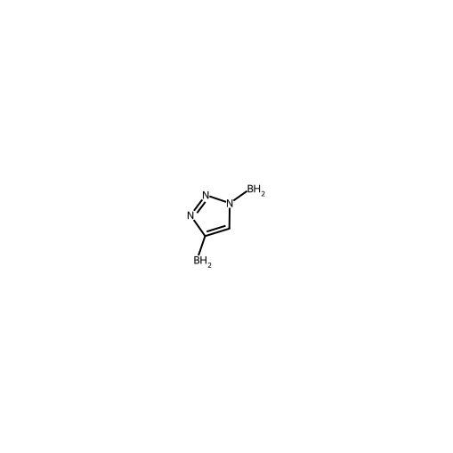 Bc1cn(B)nn1